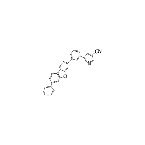 N#Cc1cncc(-c2cccc(-c3ccc4c(c3)oc3cc(-c5ccccc5)ccc34)c2)c1